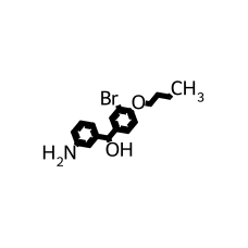 CCCCOc1ccc(C(O)c2cccc(N)c2)cc1Br